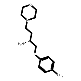 Cc1ccc(SC[C@H](N)CCN2CCOCC2)cc1